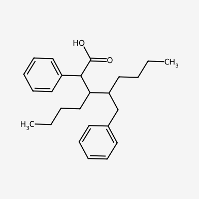 CCCCC(Cc1ccccc1)C(CCCC)C(C(=O)O)c1ccccc1